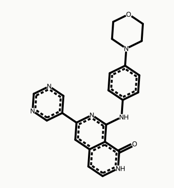 O=c1[nH]ccc2cc(-c3cncnc3)nc(Nc3ccc(N4CCOCC4)cc3)c12